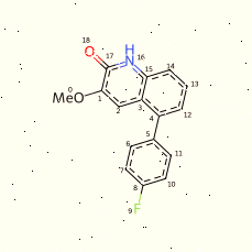 COc1cc2c(-c3ccc(F)cc3)cccc2[nH]c1=O